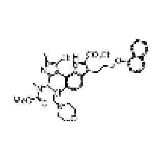 CCOC(=O)c1[nH]c2c(-c3c(C(CCN4CCOCC4)N(C)C(=O)OC)nn(C)c3CC)c(Cl)ccc2c1CCCOc1cccc2ccccc12